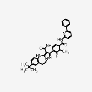 CC1C(F)=C(c2nn3c(c2C(N)=O)Nc2ccc(C(C)(C)C)cc2CC3)C=CC1C(=O)Nc1cccc(-c2ccccc2)n1